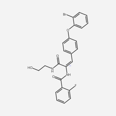 O=C(NCCO)/C(=C\c1ccc(Oc2ccccc2Br)cc1)NC(=O)c1ccccc1F